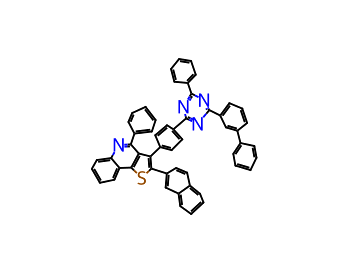 c1ccc(-c2cccc(-c3nc(-c4ccccc4)nc(-c4ccc(-c5c(-c6ccc7ccccc7c6)sc6c5c(-c5ccccc5)nc5ccccc56)cc4)n3)c2)cc1